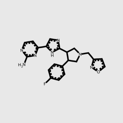 Nc1nccc(-c2cnc(C3CN(Cc4ccon4)CC3c3ccc(F)cc3)[nH]2)n1